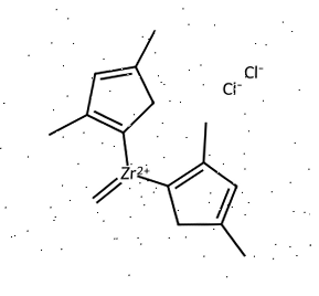 [CH2]=[Zr+2]([C]1=C(C)C=C(C)C1)[C]1=C(C)C=C(C)C1.[Cl-].[Cl-]